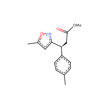 COC(=O)C[C@@H](c1ccc(C)cc1)c1cc(C)on1